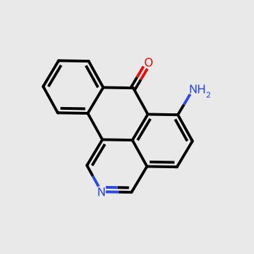 Nc1ccc2cncc3c2c1C(=O)c1ccccc1-3